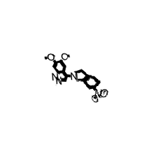 COc1cc2nncc(N3CCc4ccc([N+](=O)[O-])cc4C3)c2cc1OC